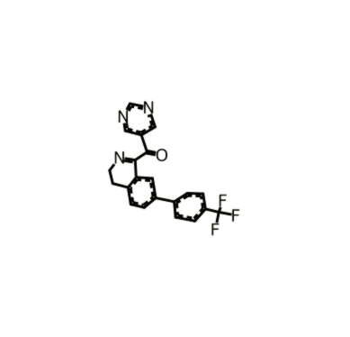 O=C(C1=NCCc2ccc(-c3ccc(C(F)(F)F)cc3)cc21)c1cncnc1